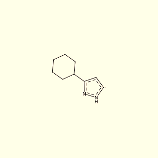 [c]1cc(C2CCCCC2)n[nH]1